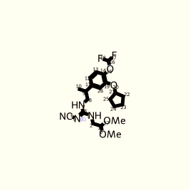 COC(CN/C(=N/C#N)NCC(C)c1ccc(OC(F)F)c(OC2CCCC2)c1)OC